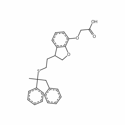 CC(Cc1ccccc1)(SCCC1COc2c(OCC(=O)O)cccc21)c1ccccc1